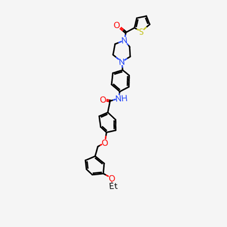 CCOc1cccc(COc2ccc(C(=O)Nc3ccc(N4CCN(C(=O)c5cccs5)CC4)cc3)cc2)c1